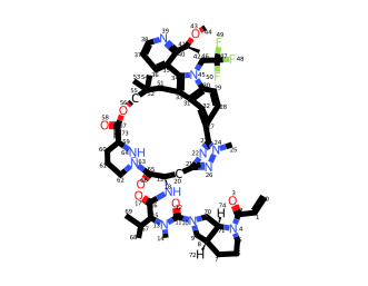 C=CC(=O)N1CCC[C@H]2CN(C(=O)N(C)C(C(=O)N[C@H]3Cc4nc(n(C)n4)-c4ccc5c(c4)c(c(-c4cccnc4[C@H](C)OC)n5CC(F)(F)F)CC(C)(C)COC(=O)[C@@H]4CCCN(N4)C3=O)C(C)C)C[C@H]21